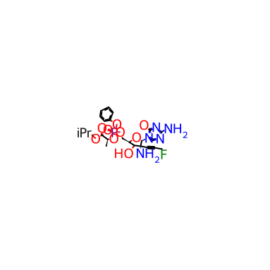 CC(C)OC(=O)[C@H](C)OP(=O)(OC[C@H]1O[C@@H](n2cnc(N)nc2=O)[C@@](N)(C#CCF)C1O)Oc1ccccc1